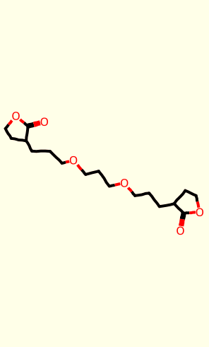 O=C1OCCC1CCCOCCCOCCCC1CCOC1=O